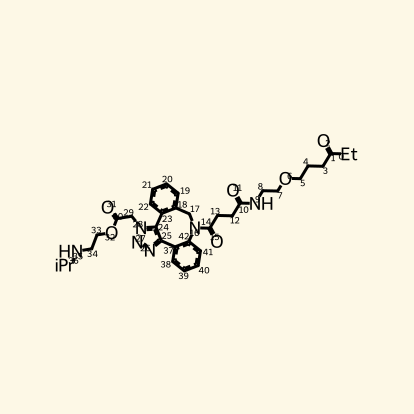 CCC(=O)CCCOCCNC(=O)CCC(=O)N1Cc2ccccc2-c2c(nnn2CC(=O)OCCNC(C)C)-c2ccccc21